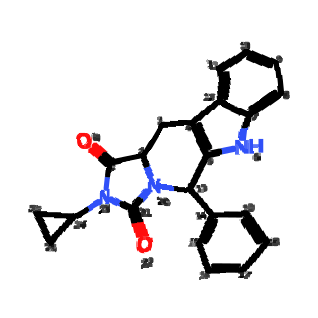 O=C1C2Cc3c([nH]c4ccccc34)C(c3ccccc3)N2C(=O)N1C1CC1